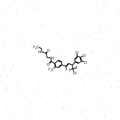 CCC(F)(F)C(/C=C(\F)c1ccc(C(=O)NCC(=O)NCC(F)(F)F)c(C(F)(F)F)c1)c1cc(Cl)c(Cl)c(Cl)c1